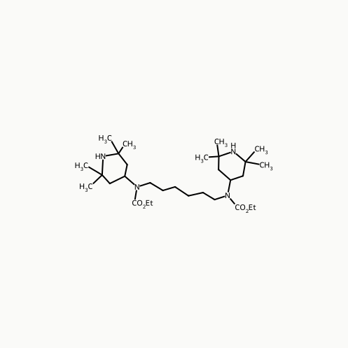 CCOC(=O)N(CCCCCCN(C(=O)OCC)C1CC(C)(C)NC(C)(C)C1)C1CC(C)(C)NC(C)(C)C1